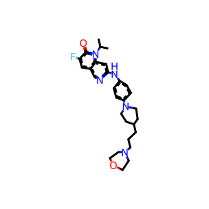 CC(C)n1c(=O)c(F)cc2cnc(Nc3ccc(N4CCC(CCCN5CCOCC5)CC4)cc3)cc21